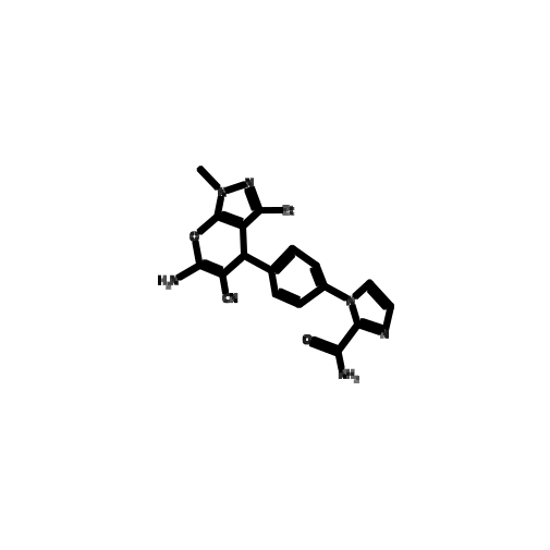 CCc1nn(C)c2c1C(c1ccc(-n3ccnc3C(N)=O)cc1)C(C#N)=C(N)O2